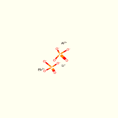 O=P([O-])([O-])[O-].O=P([O-])([O-])[O-].[Al+3].[Li+].[Pb+2]